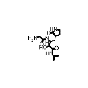 CC(C)NC(=O)C(O)[C@H](C[C@@H]1CCNC1=O)NC(=O)CN